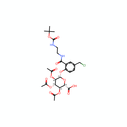 CC(=O)O[C@@H]1[C@@H](OC(C)=O)[C@H](Oc2ccc(CCl)cc2C(=O)NCCNC(=O)OC(C)(C)C)O[C@H](C(=O)O)[C@H]1OC(C)=O